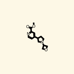 COC(=O)c1cc(C2CCN(C3COC3)C2)ccn1